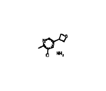 Cc1ncc(C2COC2)cc1Cl.N